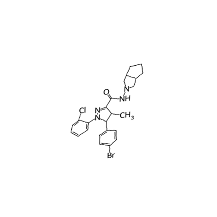 CC1C(C(=O)NN2CC3CCCC3C2)=NN(c2ccccc2Cl)C1c1ccc(Br)cc1